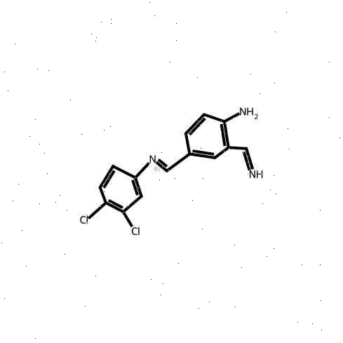 N=Cc1cc(/C=N/c2ccc(Cl)c(Cl)c2)ccc1N